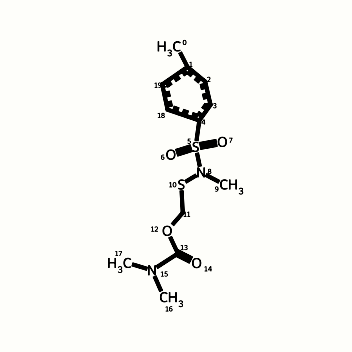 Cc1ccc(S(=O)(=O)N(C)SCOC(=O)N(C)C)cc1